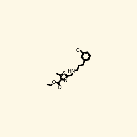 CCOC(=O)c1nc(CNCCCc2cccc(Cl)c2)sc1C